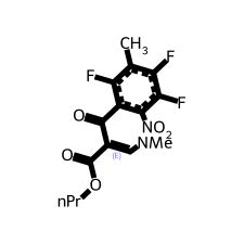 CCCOC(=O)/C(=C/NC)C(=O)c1c(F)c(C)c(F)c(F)c1[N+](=O)[O-]